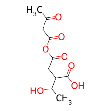 CC(=O)CC(=O)OC(=O)CC(C(=O)O)C(C)O